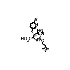 CCCC(C(=O)O)[C@H](Cc1ccc(Br)nc1)c1nnnn1COCC[Si](C)(C)C